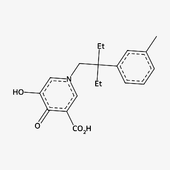 CCC(CC)(Cn1cc(O)c(=O)c(C(=O)O)c1)c1cccc(C)c1